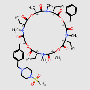 CC(C)C[C@H]1C(=O)O[C@H](Cc2ccc(CN3CCN(S(C)(=O)=O)CC3)cc2)C(=O)N(C)[C@@H](CC(C)C)C(=O)O[C@H](C)C(=O)N(C)[C@@H](CC(C)C)C(=O)O[C@H](Cc2ccccc2)C(=O)N(C)[C@@H](CC(C)C)C(=O)O[C@H](C)C(=O)N1C